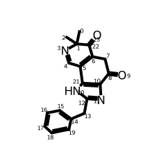 CC1(C)N=CC2=C(CC(=O)c3nc(Cc4ccccc4)[nH]c32)C1=O